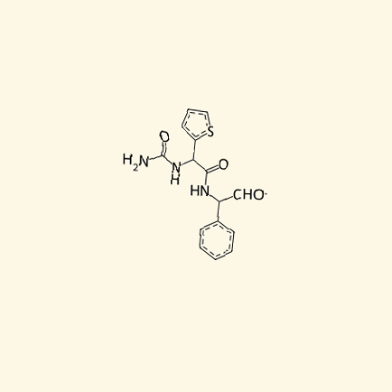 NC(=O)NC(C(=O)NC([C]=O)c1ccccc1)c1cccs1